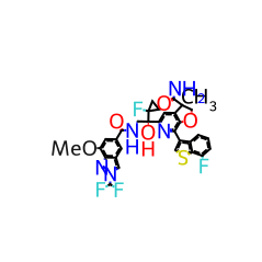 COc1cc(C(=O)NC[C@](O)(c2cc3c(c(-c4csc5c(F)cccc45)n2)OC[C@]3(C)C(N)=O)C2(F)CC2)cc2cn(C(F)F)nc12